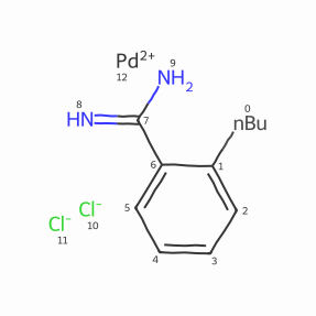 CCCCc1ccccc1C(=N)N.[Cl-].[Cl-].[Pd+2]